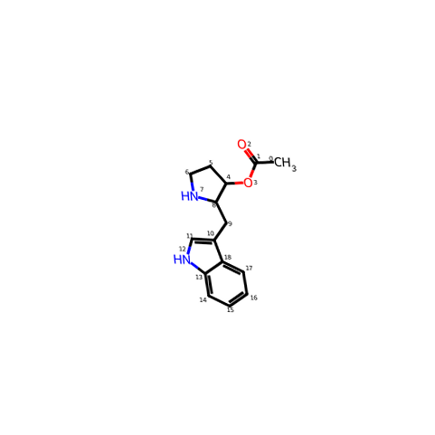 CC(=O)OC1CCNC1Cc1c[nH]c2ccccc12